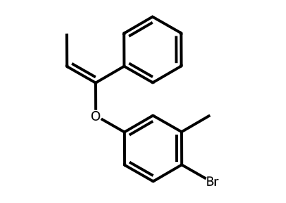 CC=C(Oc1ccc(Br)c(C)c1)c1ccccc1